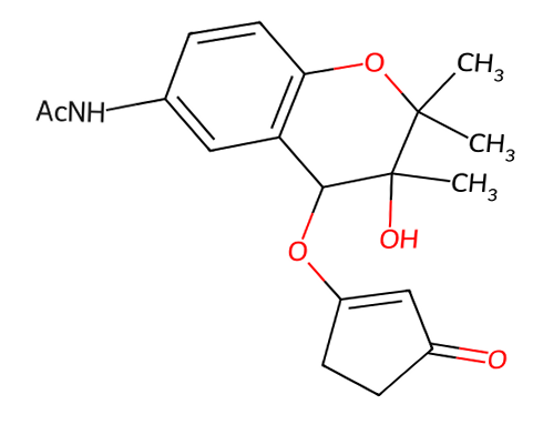 CC(=O)Nc1ccc2c(c1)C(OC1=CC(=O)CC1)C(C)(O)C(C)(C)O2